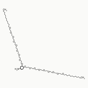 CCCCCCCCCCCCOCCOCCOCCOCCOCCOCCOCCOCCOc1ccc(N)cc1OCCOCCOCCOCCOCCOCCOCCOCCOCCCCCCCCCCCC